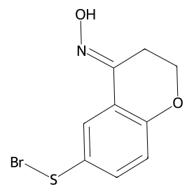 ON=C1CCOc2ccc(SBr)cc21